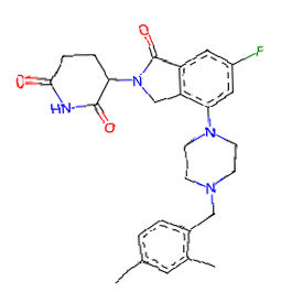 Cc1ccc(CN2CCN(c3cc(F)cc4c3CN(C3CCC(=O)NC3=O)C4=O)CC2)c(C)c1